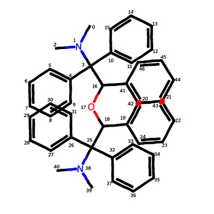 CN(C)C(c1ccccc1)(c1ccccc1)C(OC(c1ccccc1)C(c1ccccc1)(c1ccccc1)N(C)C)c1ccccc1